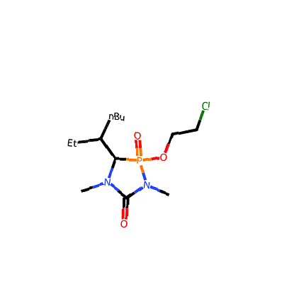 CCCCC(CC)C1N(C)C(=O)N(C)P1(=O)OCCCl